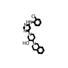 O[C@H]1CN(c2cc(Nc3ccccc3Cl)ncn2)CCC1N1CCc2ccccc2C1